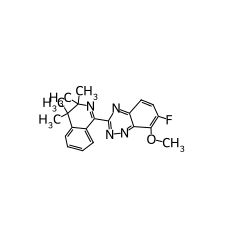 COc1c(F)ccc2nc(C3=NC(C)(C)C(C)(C)c4ccccc43)nnc12